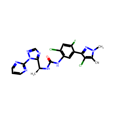 C[C@H](NC(=O)Nc1cc(-c2nn(C)c(C#N)c2Cl)c(F)cc1Cl)c1ncnn1-c1ncccn1